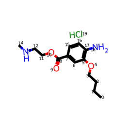 CCCCOc1cc(C(=O)OCCNC)ccc1N.Cl